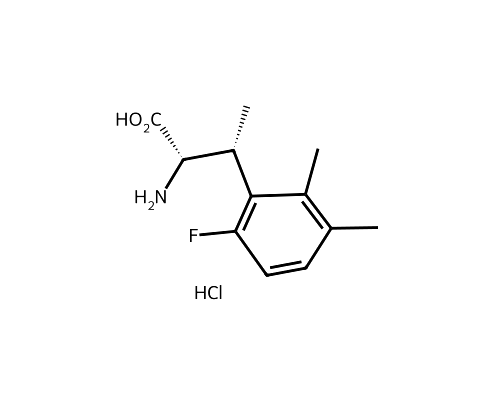 Cc1ccc(F)c([C@@H](C)[C@H](N)C(=O)O)c1C.Cl